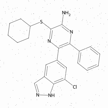 Nc1nc(-c2ccccc2)c(-c2cc(Cl)c3[nH]ncc3c2)nc1SC1CCCCC1